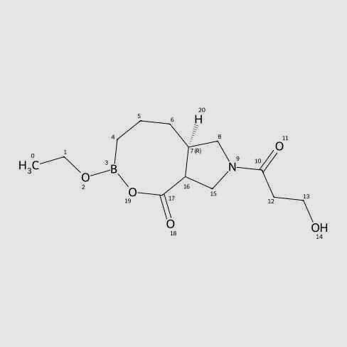 CCOB1CCC[C@H]2CN(C(=O)CCO)CC2C(=O)O1